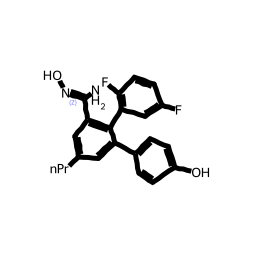 CCCc1cc(/C(N)=N/O)c(-c2cc(F)ccc2F)c(-c2ccc(O)cc2)c1